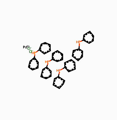 [Cl-].[Cl-].[Pd+2].c1ccc(Pc2ccccc2)cc1.c1ccc(Pc2ccccc2)cc1.c1ccc(Pc2ccccc2)cc1.c1ccc(Pc2ccccc2)cc1